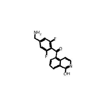 NCc1cc(F)c(C(=O)c2cccc3c(O)nccc23)c(F)c1